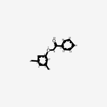 Cc1cc(C)cc(OCC(=O)c2ccccc2)c1